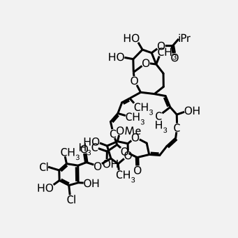 COC1C(OC/C2=C\C=C\CC(O)/C(C)=C/C3CCC4(C)OC(OC3/C(C)=C/C(C)=C/CC(C(C)O)OC2=O)C(O)C(O)C4OC(=O)C(C)C)OC(C)C(OC(=O)c2c(C)c(Cl)c(O)c(Cl)c2O)C1O